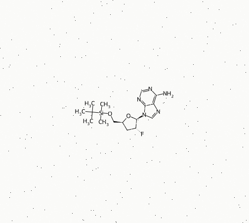 CC(C)(C)[Si](C)(C)OC[C@@H]1C[C@@H](F)[C@H](n2cnc3c(N)ncnc32)O1